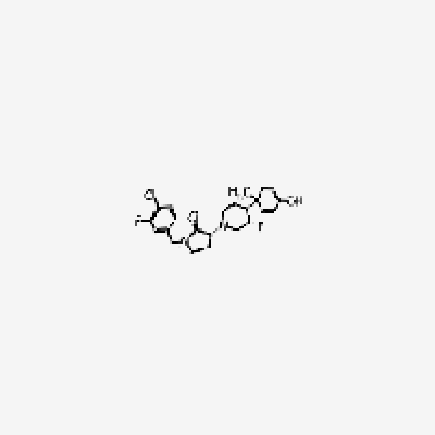 CC1([C@@H]2CCN([C@@H]3CCN(Cc4ccc(Cl)c(F)c4)C3=O)C[C@H]2F)C=CC(O)=CC1